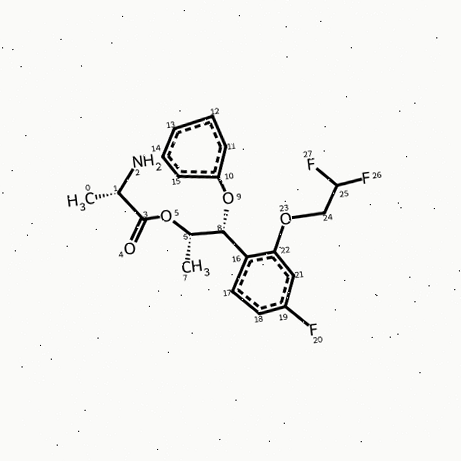 C[C@H](N)C(=O)O[C@@H](C)[C@H](Oc1ccccc1)c1ccc(F)cc1OCC(F)F